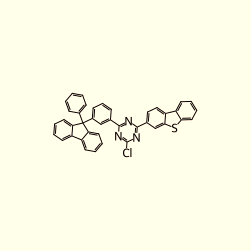 Clc1nc(-c2cccc(C3(c4ccccc4)c4ccccc4-c4ccccc43)c2)nc(-c2ccc3c(c2)sc2ccccc23)n1